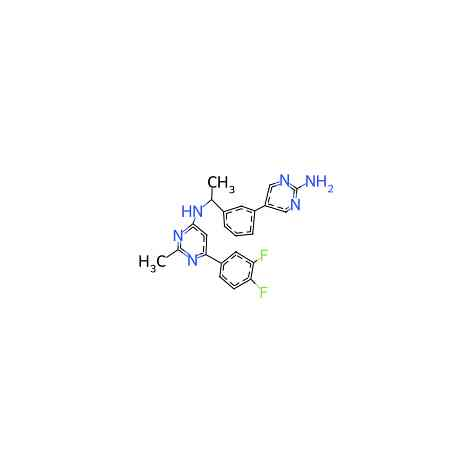 Cc1nc(NC(C)c2cccc(-c3cnc(N)nc3)c2)cc(-c2ccc(F)c(F)c2)n1